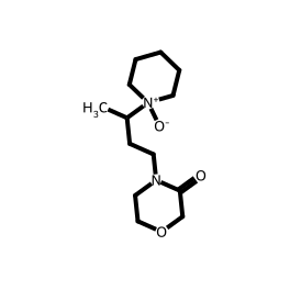 CC(CCN1CCOCC1=O)[N+]1([O-])CCCCC1